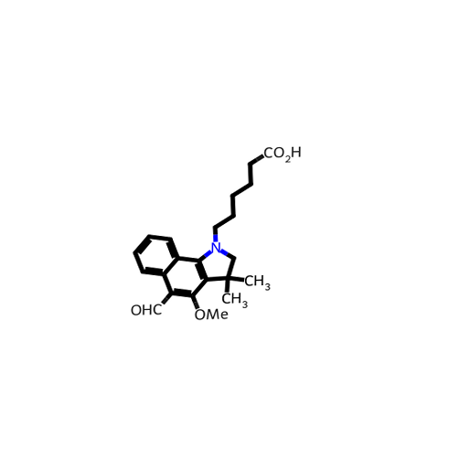 COc1c2c(c3ccccc3c1C=O)N(CCCCCC(=O)O)CC2(C)C